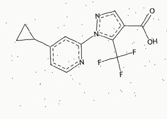 O=C(O)c1cnn(-c2cc(C3CC3)ccn2)c1C(F)(F)F